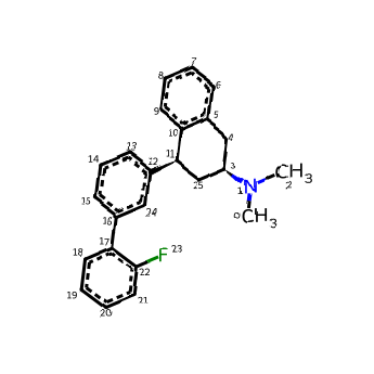 CN(C)[C@@H]1Cc2ccccc2[C@H](c2cccc(-c3ccccc3F)c2)C1